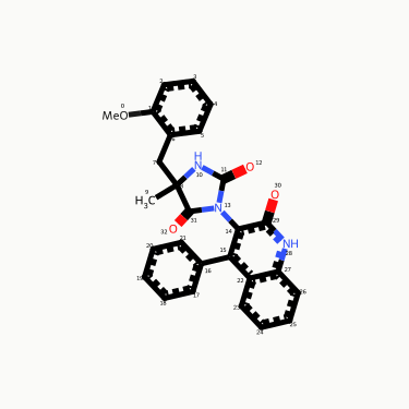 COc1ccccc1CC1(C)NC(=O)N(c2c(-c3ccccc3)c3ccccc3[nH]c2=O)C1=O